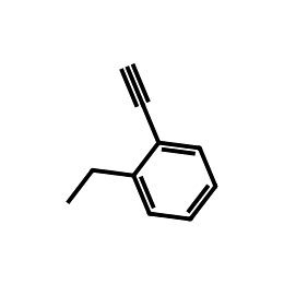 C#Cc1ccccc1CC